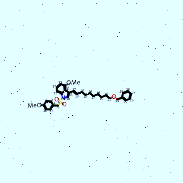 COc1ccc(CS(=O)(=O)n2cc(C=CCCCCCCCCOCc3ccccc3)c3c(OC)cccc32)cc1